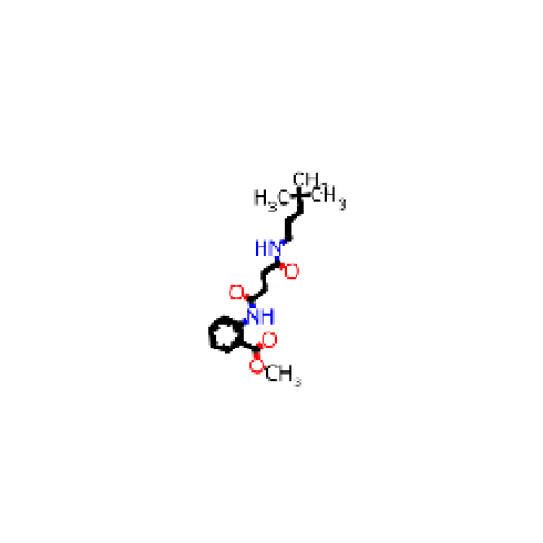 COC(=O)c1ccccc1NC(=O)CCC(=O)NCCCC(C)(C)C